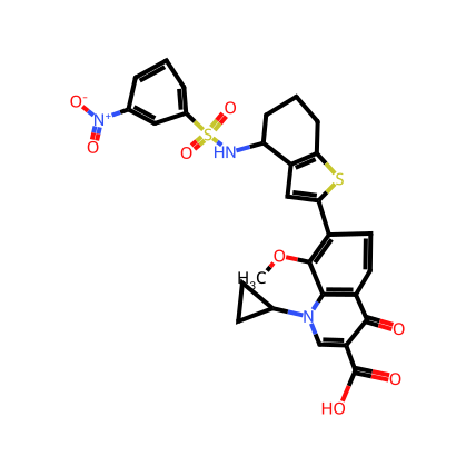 COc1c(-c2cc3c(s2)CCCC3NS(=O)(=O)c2cccc([N+](=O)[O-])c2)ccc2c(=O)c(C(=O)O)cn(C3CC3)c12